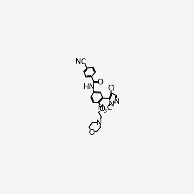 Cn1ncc(Cl)c1-c1cc(NC(=O)c2ccc(C#N)cc2)ccc1OCCN1CCOCC1